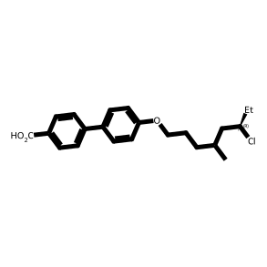 CC[C@@H](Cl)CC(C)CCCOc1ccc(-c2ccc(C(=O)O)cc2)cc1